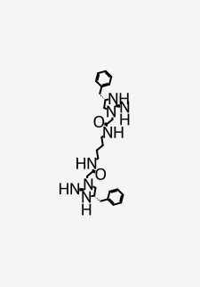 N=C1N[C@@H](Cc2ccccc2)CN1CC(=O)NCCCCNC(=O)CN1C[C@H](Cc2ccccc2)NC1=N